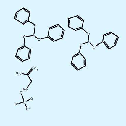 C=C(C)[CH2][Pd+].[O-][Cl+3]([O-])([O-])[O-].c1ccc(OP(Oc2ccccc2)Oc2ccccc2)cc1.c1ccc(OP(Oc2ccccc2)Oc2ccccc2)cc1